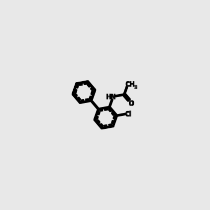 CC(=O)Nc1c(Cl)cccc1-c1ccccc1